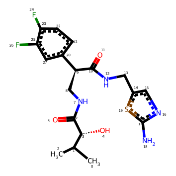 CC(C)[C@@H](O)C(=O)NC[C@H](C(=O)NCc1cnc(N)s1)c1ccc(F)c(F)c1